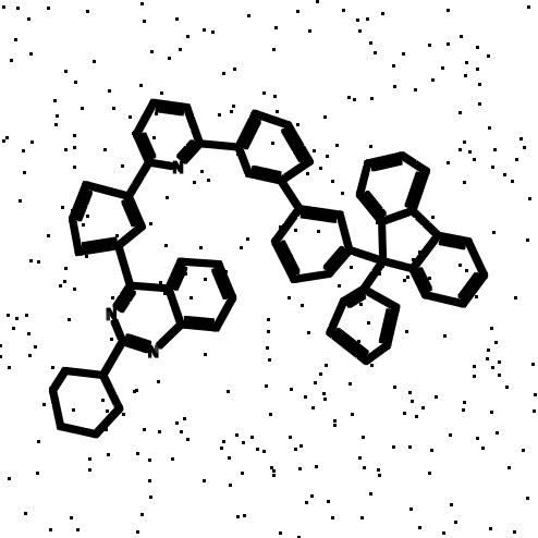 c1ccc(C2(c3cccc(-c4cccc(-c5cccc(-c6cccc(-c7nc(C8CCCCC8)nc8ccccc78)c6)n5)c4)c3)c3ccccc3-c3ccccc32)cc1